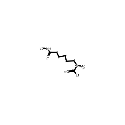 CCNC(=O)CCCCCN(C(C)=O)C(=O)CC